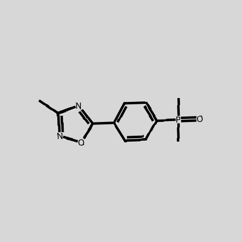 Cc1noc(-c2ccc(P(C)(C)=O)cc2)n1